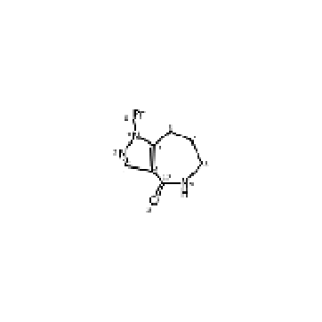 CC(C)n1ncc2c1CCCNC2=O